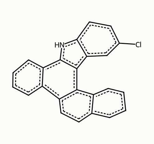 Clc1ccc2[nH]c3c4ccccc4c4ccc5ccccc5c4c3c2c1